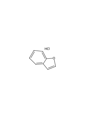 Cl.c1ccc2occc2c1